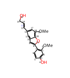 COc1cc(O)ccc1-c1cc2cc(/C=C/CO)cc(OC)c2o1